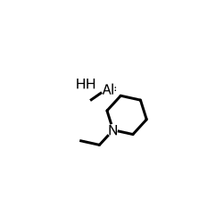 CCN1CCCCC1.[CH3][Al].[HH]